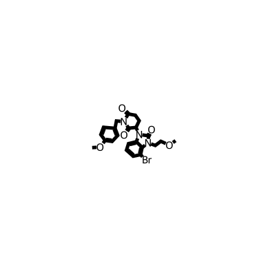 COCCn1c(=O)n(C2CCC(=O)N(Cc3ccc(OC)cc3)C2=O)c2cccc(Br)c21